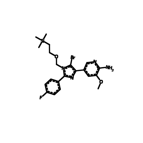 COc1cc(-c2nc(-c3ccc(F)cc3)n(COCC[Si](C)(C)C)c2Br)cnc1N